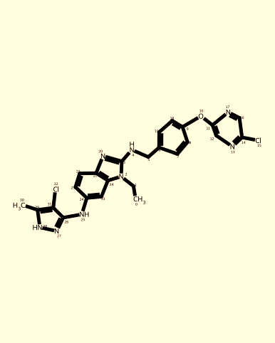 CCn1c(NCc2ccc(Oc3cnc(Cl)cn3)cc2)nc2ccc(Nc3n[nH]c(C)c3Cl)cc21